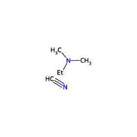 C#N.CCN(C)C